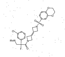 CNCC(F)(C(=O)N1CC(=C2CN(S(=O)(=O)c3ccc4c(c3)OCCO4)C2)C1)c1cccc(Cl)c1